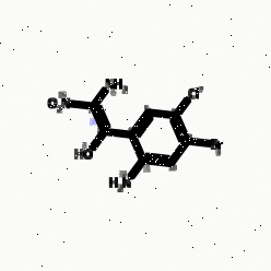 N/C(=C(/O)c1cc(Cl)c(Br)cc1N)[N+](=O)[O-]